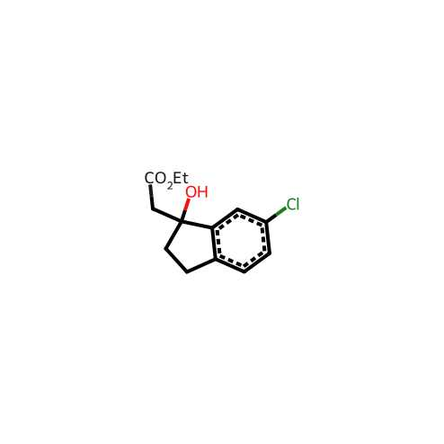 CCOC(=O)CC1(O)CCc2ccc(Cl)cc21